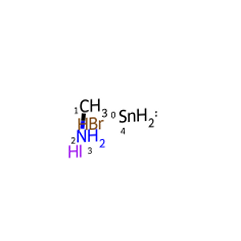 Br.CN.I.[SnH2]